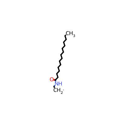 [CH2]CNC(=O)CCCCCCCCCCCCCCC